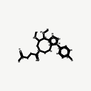 COC1CN(C(=O)CCC(C)=O)CCc2c(nnn2-c2ccc(C)cc2)C1OC